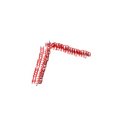 CCOC(C)=O.O.O.O.O.O.O.O.O.O.O.O.O.O.O.O.O.O.O.O.O.O.O.O.O.O.O.O.O.O.O.O.O.O